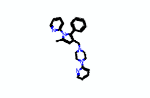 Cc1cc(CN2CCN(c3ccccn3)CC2)c(-c2ccccc2)n1-c1ccccn1